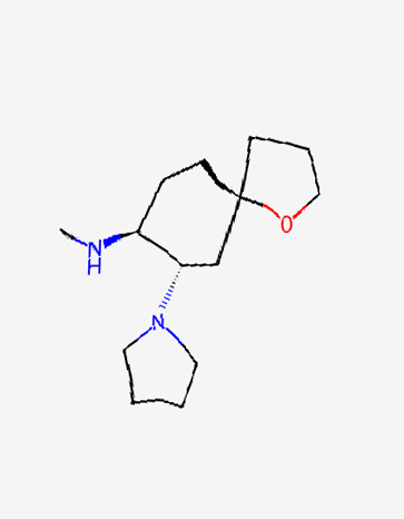 CN[C@H]1CC[C@]2(CCCO2)C[C@@H]1N1CCCC1